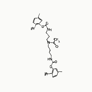 Cc1ccc(C(C)C)c(OC(=O)NCCCCN(CCCNC(=O)Oc2cc(C)ccc2C(C)C)C(=O)C(F)(F)F)c1